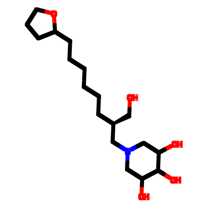 OC[C@H](CCCCCCC1CCCO1)CN1CC(O)C(O)C(O)C1